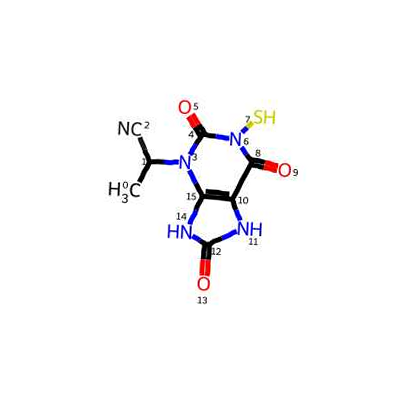 CC(C#N)n1c(=O)n(S)c(=O)c2[nH]c(=O)[nH]c21